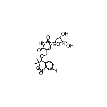 CC(C)(C)C(OCc1cn([C@H]2CC(O)[C@@H](CO)O2)c(=O)[nH]c1=O)c1ccc(I)cc1[N+](=O)[O-]